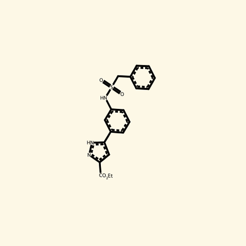 CCOC(=O)c1cc(-c2cccc(NS(=O)(=O)Cc3ccccc3)c2)[nH]n1